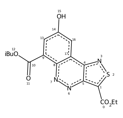 CCOC(=O)c1snc2c1nnc1c(C(=O)OCC(C)C)cc(O)cc12